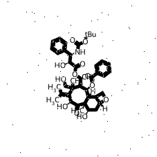 CC(C)=C1[C@@H](O)C(=O)[C@]2(C)[C@@H](O)C[C@H]3OCC3[C@H]2[C@H](OC(=O)c2ccccc2)C([C@@H](C)OC(=O)[C@H](O)[C@@H](NC(=O)OC(C)(C)C)c2ccccc2)C1(C)CO